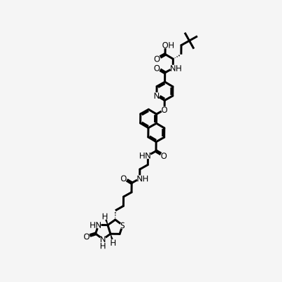 CC(C)(C)CC[C@H](NC(=O)c1ccc(Oc2cccc3cc(C(=O)NCCNC(=O)CCCC[C@@H]4SC[C@@H]5NC(=O)N[C@@H]54)ccc23)nc1)C(=O)O